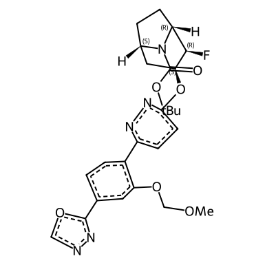 COCOc1cc(-c2nnco2)ccc1-c1ccc(O[C@H]2C[C@@H]3CC[C@H]([C@H]2F)N3C(=O)OC(C)(C)C)nn1